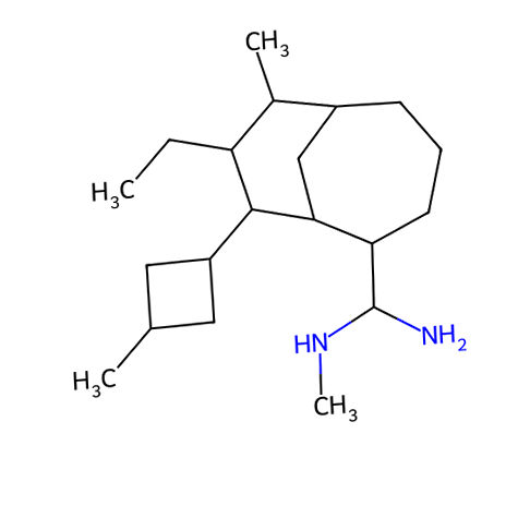 CCC1C(C)C2CCCC(C(N)NC)C(C2)C1C1CC(C)C1